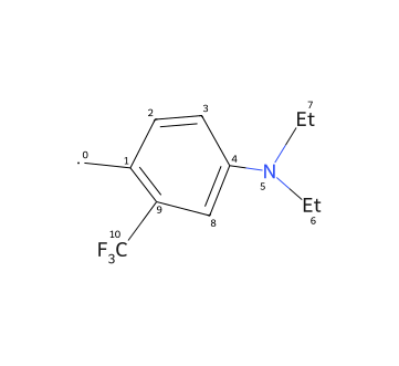 [CH2]c1ccc(N(CC)CC)cc1C(F)(F)F